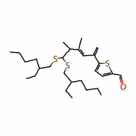 C=C(/C=C(\C)C(C)C(SCC(CC)CCCC)SCC(CC)CCCC)c1ccc(C=O)s1